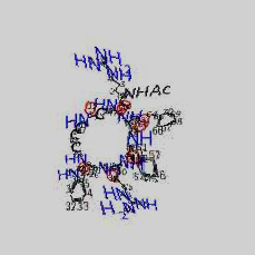 CC(=O)N[C@@H](CCCNC(=N)N)C(=O)N[C@H]1CC(=O)NCCCCCNC(=O)[C@H](Cc2c[nH]c3ccccc23)NC(=O)[C@H](CCCNC(=N)N)NC(=O)[C@@H](Cc2ccccc2)NC(=O)[C@H](COCc2ccccc2)NC1=O